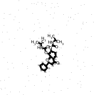 CC(C)NC(=O)Oc1ccc2c(=O)cc(-c3ccccc3)oc2c1OC(=O)NC(C)C